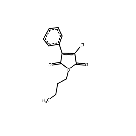 CCCCN1C(=O)C(Cl)=C(c2ccccc2)C1=O